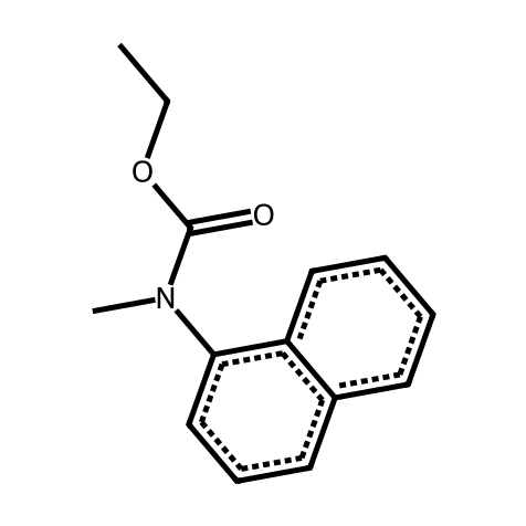 CCOC(=O)N(C)c1cccc2ccccc12